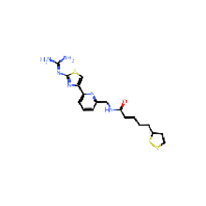 NC(N)=Nc1nc(-c2cccc(CNC(=O)CCCCC3CCSS3)n2)cs1